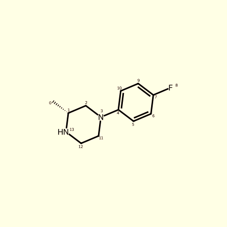 C[C@@H]1CN(c2ccc(F)cc2)CCN1